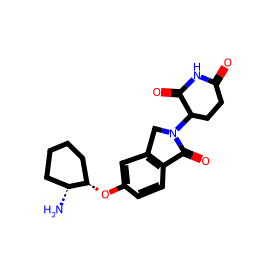 N[C@@H]1CCCC[C@@H]1Oc1ccc2c(c1)CN(C1CCC(=O)NC1=O)C2=O